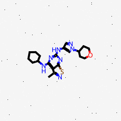 Cc1nsc2nc(Nc3cnn(C4CCOCC4)c3)nc(NC3CCCCC3)c12